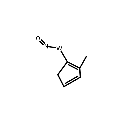 CC1=[C]([W][N]=O)CC=C1